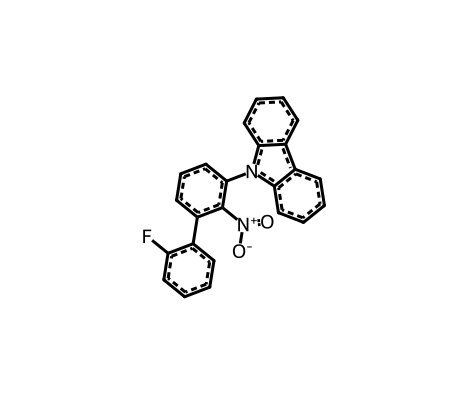 O=[N+]([O-])c1c(-c2ccccc2F)cccc1-n1c2ccccc2c2ccccc21